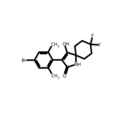 Cc1cc(Br)cc(C)c1C1=C(O)C2(CCC(F)(F)CC2)NC1=O